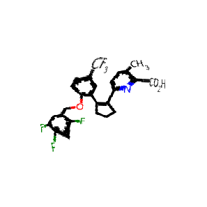 Cc1ccc(C2=C(c3cc(C(F)(F)F)ccc3OCc3cc(F)c(F)cc3F)CCC2)nc1C(=O)O